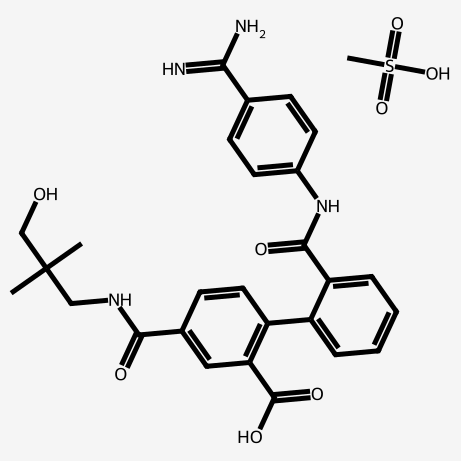 CC(C)(CO)CNC(=O)c1ccc(-c2ccccc2C(=O)Nc2ccc(C(=N)N)cc2)c(C(=O)O)c1.CS(=O)(=O)O